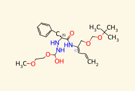 C=C/C=C(\COCOC(C)(C)C)NC(=O)[C@H](Cc1ccccc1)NNC(O)OCCOC